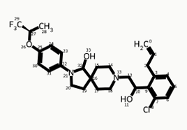 C=CCc1cccc(Cl)c1C(O)CN1CCC2(CC1)CCN(c1ccc(O[C@H](C)C(F)(F)F)cc1)C2O